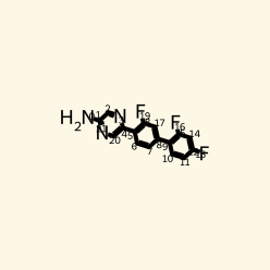 Nc1cnc(-c2ccc(-c3ccc(F)cc3F)cc2F)cn1